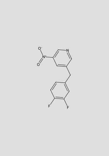 O=[N+]([O-])c1cncc(Cc2ccc(F)c(F)c2)c1